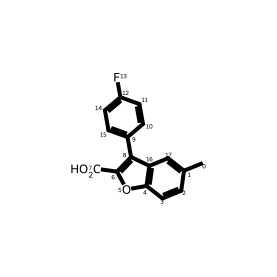 Cc1ccc2oc(C(=O)O)c(-c3ccc(F)cc3)c2c1